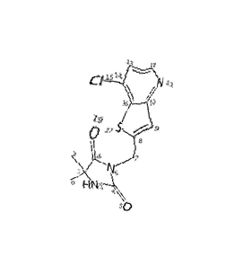 CC1(C)NC(=O)N(Cc2cc3nccc(Cl)c3s2)C1=O